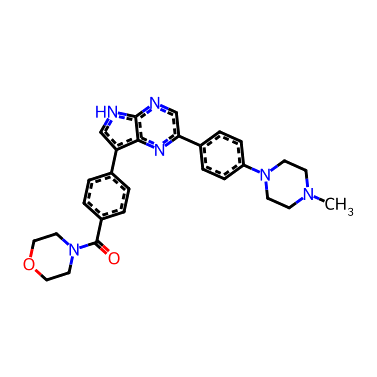 CN1CCN(c2ccc(-c3cnc4[nH]cc(-c5ccc(C(=O)N6CCOCC6)cc5)c4n3)cc2)CC1